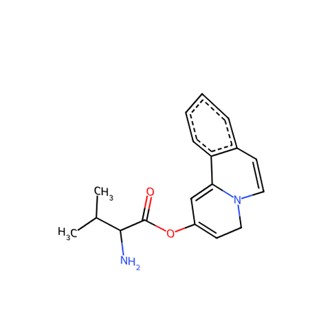 CC(C)C(N)C(=O)OC1=CCN2C=Cc3ccccc3C2=C1